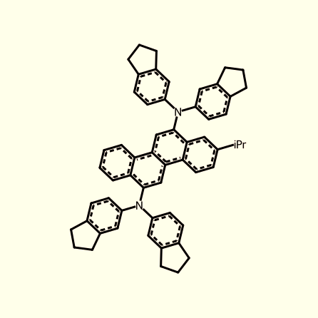 CC(C)c1ccc2c(c1)c(N(c1ccc3c(c1)CCC3)c1ccc3c(c1)CCC3)cc1c3ccccc3c(N(c3ccc4c(c3)CCC4)c3ccc4c(c3)CCC4)cc21